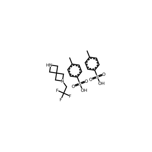 Cc1ccc(S(=O)(=O)O)cc1.Cc1ccc(S(=O)(=O)O)cc1.FC(F)(F)CN1CC2(CNC2)C1